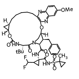 COc1ccc2nc3c(nc2c1)O[C@H]1CN(C(=O)[C@H](C(C)(C)C)NC(=O)O[C@@H]2C[C@H]2CCCCC3)[C@H](C(=O)N[C@]2(C(=O)NS(=O)(=O)C3(C)CC3)CC2C(F)F)[C@@H]1Cc1ccccc1